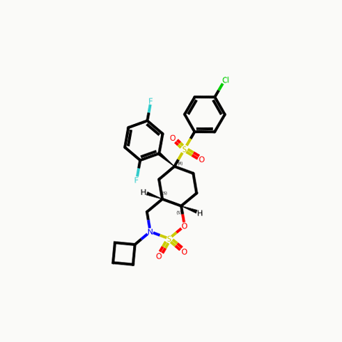 O=S1(=O)O[C@H]2CC[C@@](c3cc(F)ccc3F)(S(=O)(=O)c3ccc(Cl)cc3)C[C@H]2CN1C1CCC1